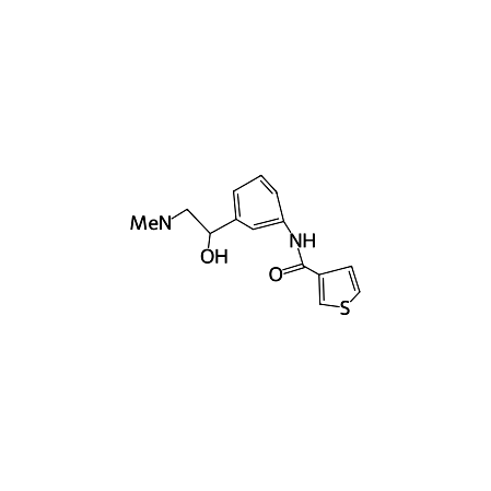 CNCC(O)c1cccc(NC(=O)c2ccsc2)c1